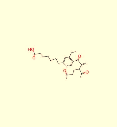 C=C(C(=O)c1ccc(CCCCCCC(=O)O)cc1CC)C(CCC(C)=O)C(C)=O